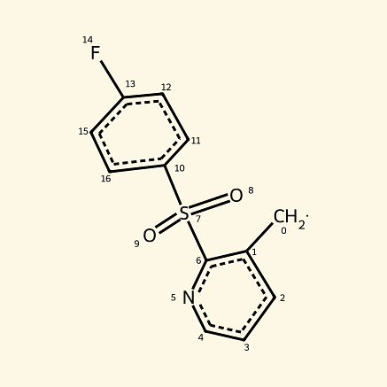 [CH2]c1cccnc1S(=O)(=O)c1ccc(F)cc1